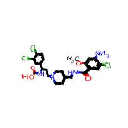 COc1cc(N)c(Cl)cc1C(=O)NCC1CCN(CCC(NC(=O)O)c2ccc(Cl)c(Cl)c2)CC1